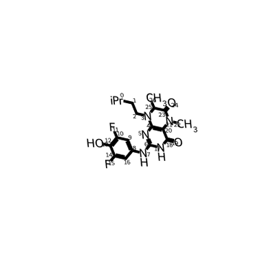 CC(C)CCN1c2nc(Nc3cc(F)c(O)c(F)c3)[nH]c(=O)c2N(C)C(=O)C1C